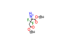 CC(C)(C)OC(=O)CC(F)(F)[C@H](N)C(=O)OC(C)(C)C